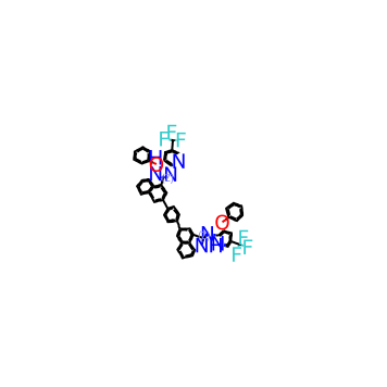 FC(F)(F)c1cnc(/N=C2\Nc3cccc4cc(-c5ccc(-c6cc7c8c(cccc8c6)N/C7=N\c6ncc(C(F)(F)F)cc6Oc6ccccc6)cc5)cc2c34)c(Oc2ccccc2)c1